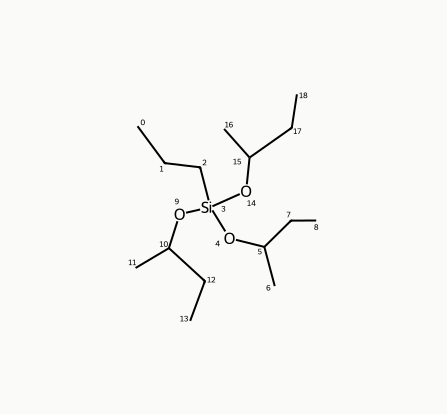 CCC[Si](OC(C)CC)(OC(C)CC)OC(C)CC